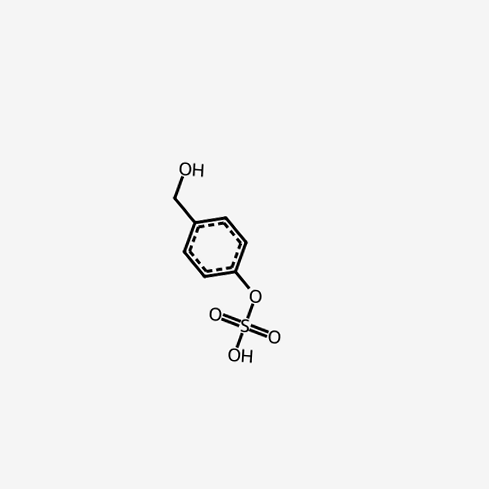 O=S(=O)(O)Oc1ccc(CO)cc1